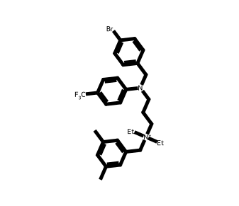 CC[N+](CC)(CCCN(Cc1ccc(Br)cc1)c1ccc(C(F)(F)F)cc1)Cc1cc(C)cc(C)c1